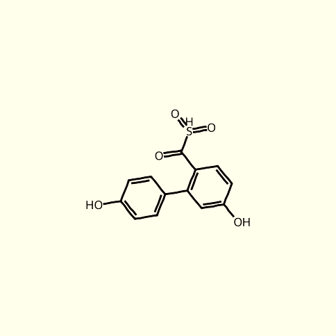 O=C(c1ccc(O)cc1-c1ccc(O)cc1)[SH](=O)=O